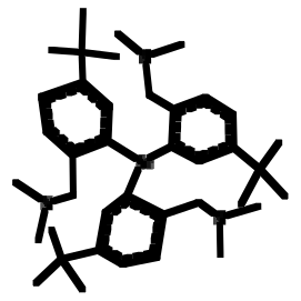 CN(C)Cc1ccc(C(C)(C)C)c[c]1[Sc]([c]1cc(C(C)(C)C)ccc1CN(C)C)[c]1cc(C(C)(C)C)ccc1CN(C)C